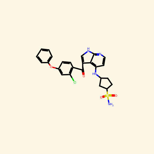 NS(=O)(=O)C1CCC(Nc2ccnc3[nH]cc(C(=O)c4ccc(Oc5ccccc5)cc4Cl)c23)C1